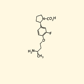 C[C@@H](N)CCOc1ccc([C@H]2CCCN2C(=O)O)cc1F